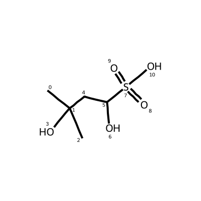 CC(C)(O)CC(O)S(=O)(=O)O